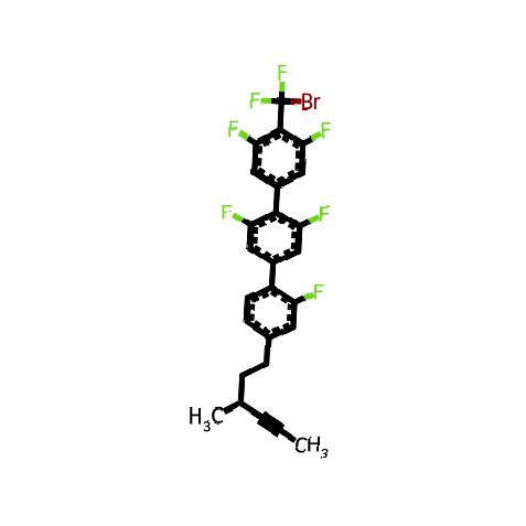 CC#CC(C)CCc1ccc(-c2cc(F)c(-c3cc(F)c(C(F)(F)Br)c(F)c3)c(F)c2)c(F)c1